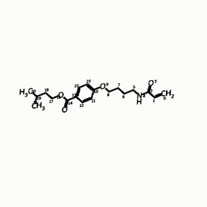 C=CC(=O)NCCCCOc1ccc(C(=O)OCCC(C)C)cc1